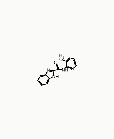 Cc1cccnc1NC(=O)c1nc2ccccc2[nH]1